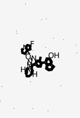 Cc1c(-c2cc(O)cc3ccccc23)ccc2c(N3C[C@H]4CC[C@@H](C3)N4)nc(OC[C@@]34CCCN3C[C@H](F)C4)nc12